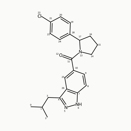 CC(C)Cc1n[nH]c2ccc(C(=O)N3CCCC3c3ccc(Cl)cc3)cc12